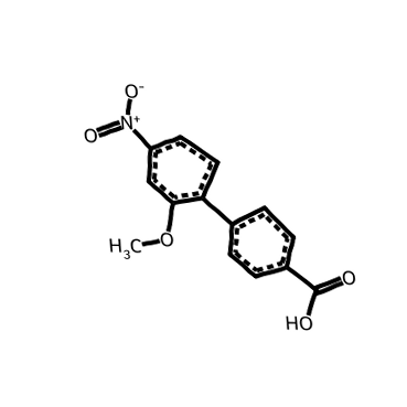 COc1cc([N+](=O)[O-])ccc1-c1ccc(C(=O)O)cc1